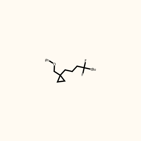 CC(C)OCC1(CCCC(F)(F)C(C)(C)C)CC1